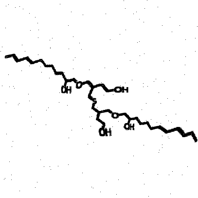 CCCCCCCCCCC(O)COCC(CCO)CSCC(CCO)COCC(O)CCCCCCCCCC